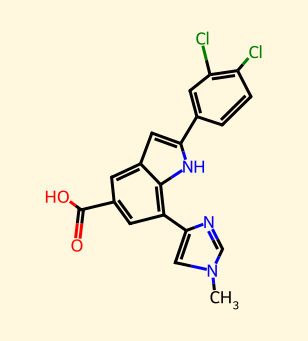 Cn1cnc(-c2cc(C(=O)O)cc3cc(-c4ccc(Cl)c(Cl)c4)[nH]c23)c1